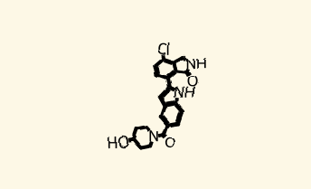 O=C1NCc2c(Cl)ccc(-c3cc4cc(C(=O)N5CCC(O)CC5)ccc4[nH]3)c21